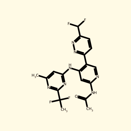 CC(=O)Nc1cc(Nc2cc(C)nc(C(C)(F)F)n2)c(-c2ccc(C(F)F)nn2)cn1